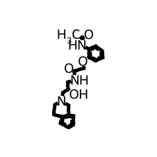 CC(=O)Nc1ccccc1OCC(=O)NCC(O)CN1CCc2ccccc2C1